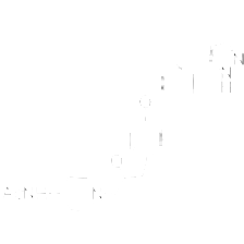 CC(=O)NC1CCN(CC2Cc3ccc(Oc4ccc(-c5ccn[nH]5)cc4)cc3O2)CC1